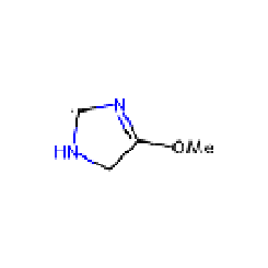 COC1=N[CH]NC1